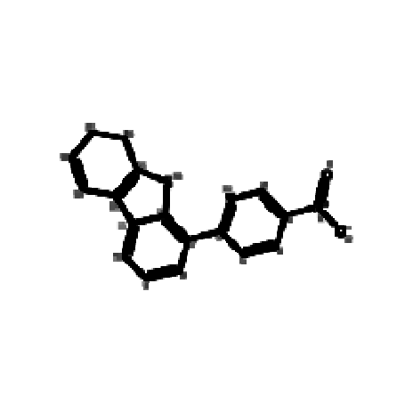 O=[N+]([O-])c1ccc(-c2cccc3c4c(sc23)CCC=C4)nc1